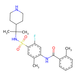 Cc1cc(S(=O)(=O)NC(C)(C)C2CCNCC2)c(F)cc1NC(=O)c1ccccc1C